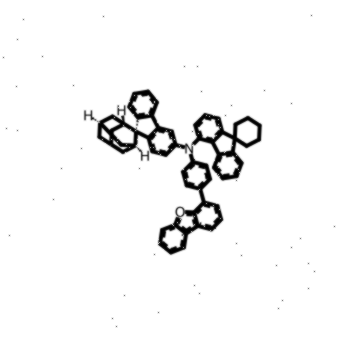 c1ccc2c(c1)-c1c(N(c3ccc(-c4cccc5c4oc4ccccc45)cc3)c3ccc4c(c3)-c3ccccc3[C@]43[C@@H]4CC5C[C@@H](C4)C[C@@H]3C5)cccc1C21CCCCC1